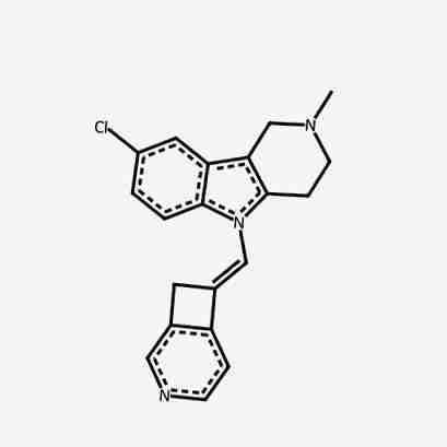 CN1CCc2c(c3cc(Cl)ccc3n2/C=C2\Cc3cnccc32)C1